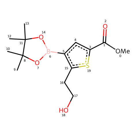 COC(=O)c1cc(B2OC(C)(C)C(C)(C)O2)c(CCO)s1